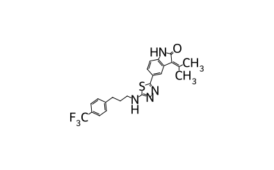 CC(C)=C1C(=O)Nc2ccc(-c3nnc(NCCCc4ccc(C(F)(F)F)cc4)s3)cc21